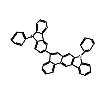 c1ccc(-n2c3ccccc3c3cc(-c4cc5cc6c(cc5c5ccccc45)c4ccccc4n6-c4ccccc4)ccc32)cc1